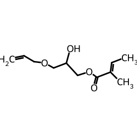 C=CCOCC(O)COC(=O)C(C)=CC